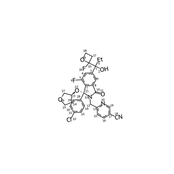 CCC(O)(c1cc(F)c2c(c1)C(=O)N(Cc1ccc(C#N)cn1)[C@@]2(O[C@H]1CCOC1)c1ccc(Cl)cc1)C1(F)CCO1